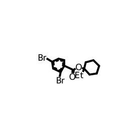 CCC1(OC(=O)c2ccc(Br)cc2Br)CCCCC1